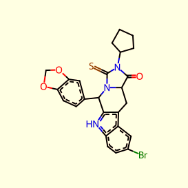 O=C1C2Cc3c([nH]c4ccc(Br)cc34)C(c3ccc4c(c3)OCO4)N2C(=S)N1C1CCCC1